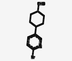 O=CC1CCC(c2ccc(Br)nc2)CC1